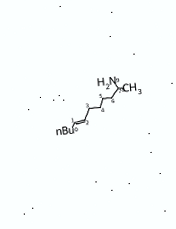 CCCCC=CCCCCC(C)N